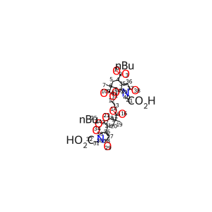 CCCCOC(=O)C(CC(C)(C)C(=O)OCCOC(=O)C(C)(C)CC(C(=O)OCCCC)C1=CC(=O)N(CC(=O)O)C1=O)C1=CC(=O)N(CC(=O)O)C1=O